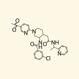 CC(NC(=O)CC1CCN(c2ccc(S(C)(=O)=O)cn2)CC1NC(=O)c1cccc(Cl)c1)c1ccccn1